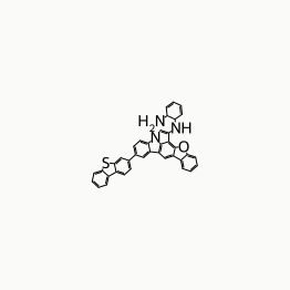 NC1C=CC=CC1Nc1cn2c3ccc(-c4ccc5c(c4)sc4ccccc45)cc3c3cc4c5ccccc5oc4c1c32